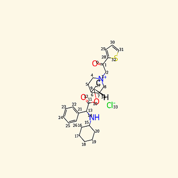 O=C(C[N+]12CCC(CC1)[C@@H](OC(=O)C(NC1CCCCC1)c1ccccc1)C2)c1cccs1.[Cl-]